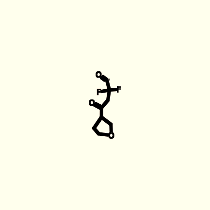 O=[C]C(F)(F)CC(=O)C1CCOC1